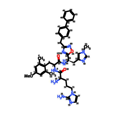 COc1cc(C)c(CC(NC(=O)C(N)CCCn2ccnc2N)C(=O)N[C@@H](Cc2cn(C)cn2)c2nc(Cc3ccc(-c4ccccc4)cc3)no2)c(C)c1